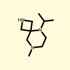 CC(C)N1CCN(C)CC12CNC2